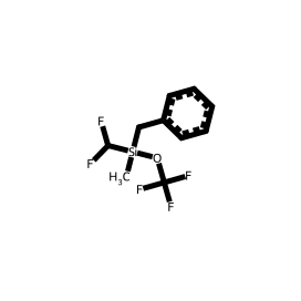 C[Si](Cc1ccccc1)(OC(F)(F)F)C(F)F